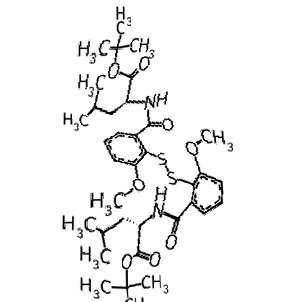 COc1cccc(C(=O)N[C@@H](CC(C)C)C(=O)OC(C)(C)C)c1SSc1c(OC)cccc1C(=O)N[C@@H](CC(C)C)C(=O)OC(C)(C)C